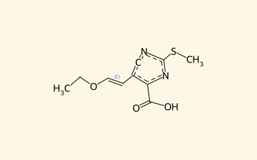 CCO/C=C/c1cnc(SC)nc1C(=O)O